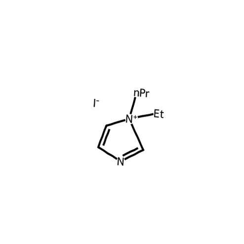 CCC[N+]1(CC)C=CN=C1.[I-]